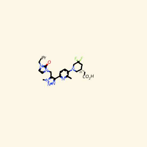 Cc1nc(-c2nnn(C)c2Cn2ccn(CC(C)C)c2=O)ccc1N1C[C@@H](CC(=O)O)CC(F)(F)C1